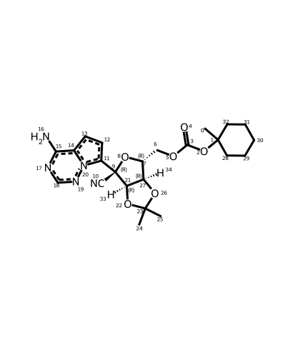 CC1(OC(=O)OC[C@H]2O[C@@](C#N)(c3ccc4c(N)ncnn34)[C@@H]3OC(C)(C)O[C@@H]32)CCCCC1